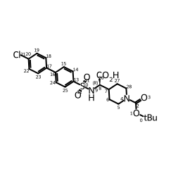 CC(C)(C)OC(=O)N1CCC([C@@H](NS(=O)(=O)c2ccc(-c3ccc(Cl)cc3)cc2)C(=O)O)CC1